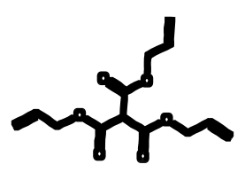 C=CCOC(=O)C(C(=O)OCC=C)C(=O)OCC=C